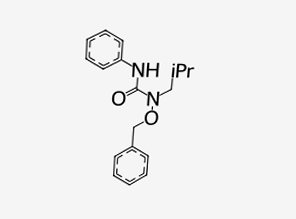 CC(C)CN(OCc1ccccc1)C(=O)Nc1ccccc1